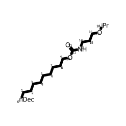 CCCCCCCCCCCCCCCCCCCOC(=O)NCCCOC(C)C